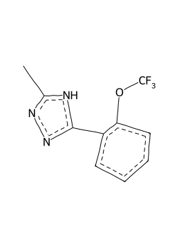 Cc1nnc(-c2ccccc2OC(F)(F)F)[nH]1